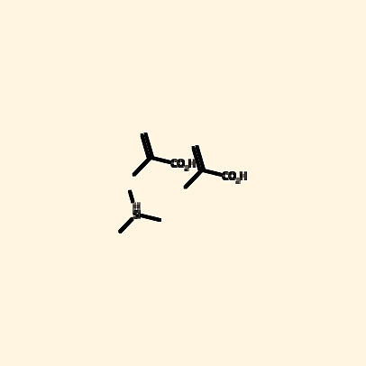 C=C(C)C(=O)O.C=C(C)C(=O)O.C[SiH](C)C